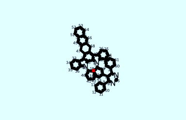 c1ccc(-c2ncnc(-c3ccccc3)c2-c2cccc(-n3c4ccccc4c4c5c(c6c7ccccc7n(-c7ccccc7)c6c43)Cc3cc4ccccc4cc3C5)c2)cc1